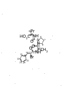 CC(C)[C@H](NC(=O)[C@@H]1CCCN1C(=O)[C@H](C)NC(=O)C(Br)Cc1ccccc1)C(=O)O